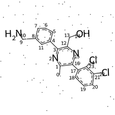 Cc1nc(-c2cccc(CN)c2)c(CO)nc1-c1cccc(Cl)c1Cl